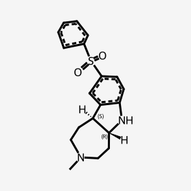 CN1CC[C@H]2Nc3ccc(S(=O)(=O)c4ccccc4)cc3[C@@H]2CC1